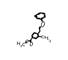 COC(=O)c1ccc(CCOc2ccccc2)c(C)c1